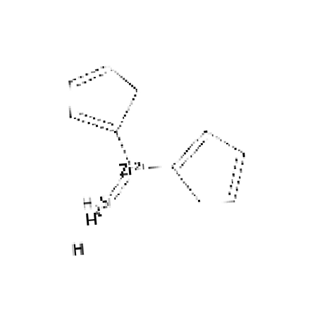 [H-].[H-].[SiH2]=[Zr+2]([C]1=CC=CC1)[C]1=CC=CC1